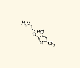 Cl.NCCCOc1ccc(C(F)(F)F)nc1